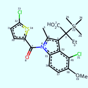 CCC(C(=O)O)(c1c(C)n(C(=O)c2ccc(Cl)s2)c2ccc(OC)c(Cl)c12)[Si](C)(C)C